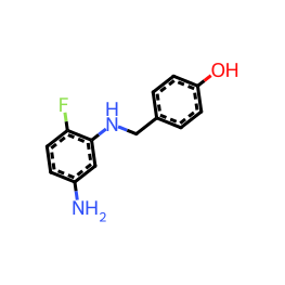 Nc1ccc(F)c(NCc2ccc(O)cc2)c1